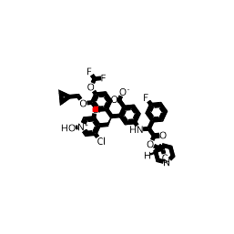 O=C([O-])c1ccc(NC(C(=O)O[C@H]2CN3CCC2CC3)c2cccc(F)c2)cc1[C@@H](Cc1c(Cl)c[n+](O)cc1Cl)c1ccc(OC(F)F)c(OCC2CC2)c1